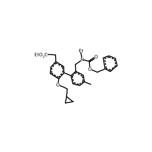 CCOC(=O)Cc1ccc(OCC2CC2)c(-c2ccc(C)cc2CN(CC)C(=O)OCc2ccccc2)c1